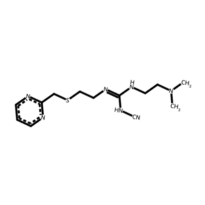 CN(C)CCNC(=NCCSCc1ncccn1)NC#N